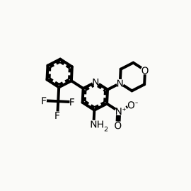 Nc1cc(-c2ccccc2C(F)(F)F)nc(N2CCOCC2)c1[N+](=O)[O-]